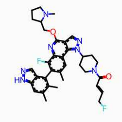 Cc1cc2[nH]ncc2c(-c2c(C)cc3c(nc(OCC4CCCN4C)c4cnn(C5CCN(C(=O)/C=C/CF)CC5)c43)c2F)c1C